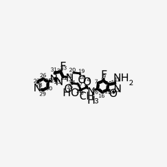 CC(O)(C(=O)Nc1cc(F)c2c(N)noc2c1)C1OCCN(c2nn(-c3ccncc3)cc2F)C1=O